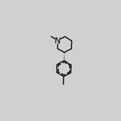 Cc1ccc([C@H]2CCCN(C)C2)cc1